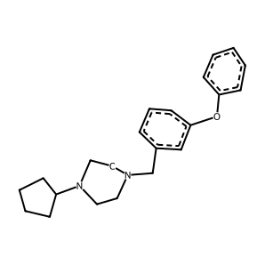 c1ccc(Oc2cccc(CN3CCN(C4CCCC4)CC3)c2)cc1